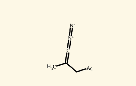 CC(=O)CC(C)=C=[N+]=[N-]